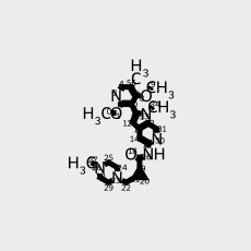 COc1ncc(C)c(OC)c1-c1cc2cc(NC(=O)C3CC3CN3CCN(C)CC3)ncc2n1C